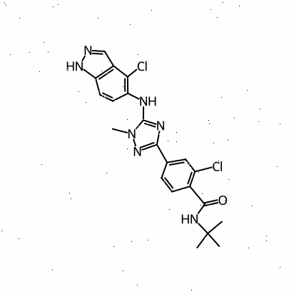 Cn1nc(-c2ccc(C(=O)NC(C)(C)C)c(Cl)c2)nc1Nc1ccc2[nH]ncc2c1Cl